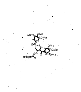 CCCCCCCC(=O)OCC1CN(C(=O)c2cc(OC)c(OC)c(OC)c2)CCN1C(=O)c1cc(OC)c(OC)c(OC)c1